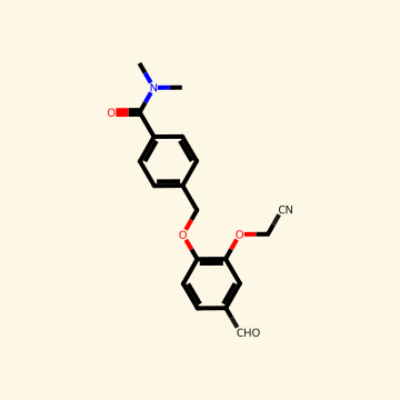 CN(C)C(=O)c1ccc(COc2ccc(C=O)cc2OCC#N)cc1